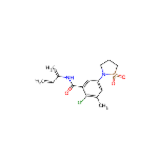 C=CC(=C)NC(=O)c1cc(N2CCCS2(=O)=O)cc(C)c1Cl